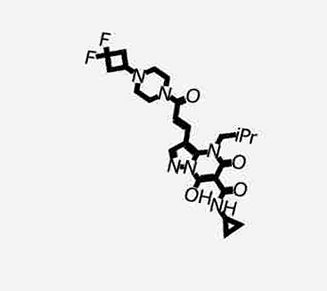 CC(C)Cn1c(=O)c(C(=O)NC2CC2)c(O)n2ncc(C=CC(=O)N3CCN(C4CC(F)(F)C4)CC3)c12